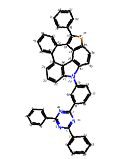 c1ccc(-c2nc(-c3ccccc3)nc(-c3cccc(-n4c5cccc6c5c5c7c(c(-c8ccccc8)sc7ccc54)-c4ccccc4-6)c3)n2)cc1